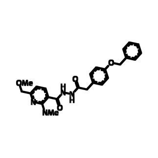 CNc1nc(COC)ccc1C(=O)NNC(=O)Cc1ccc(OCc2ccccc2)cc1